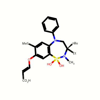 CCCC[C@]1(CC)CN(c2ccccc2)c2cc(SC)c(O/C=C/C(=O)O)cc2S(O)(O)N1C